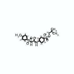 Cc1ccc(S(=O)(=O)NC(=O)Nc2ccc(S(=O)(=O)OCC(C)C)cc2)cc1